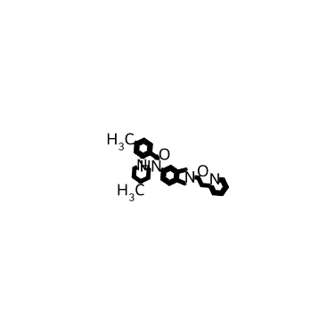 Cc1ccc(C(=O)Nc2ccc3c(c2)CN(C(=O)Cc2ccccn2)C3)c(N2CCC(C)CC2)c1